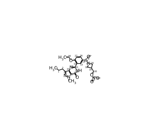 CCCc1nn(C)c2c(=O)[nH]c(-c3cc([S+]([O-])N4CC(CO[N+](=O)[O-])C4)ccc3OCC)nc12